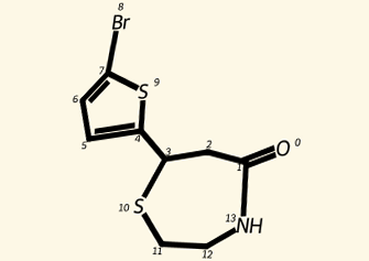 O=C1CC(c2ccc(Br)s2)SCCN1